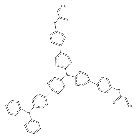 C=CC(=O)Oc1ccc(-c2ccc(N(c3ccc(-c4ccc(OC(=O)C=C)cc4)cc3)c3ccc(-c4ccc(N(c5ccccc5)c5ccccc5)cc4)cc3)cc2)cc1